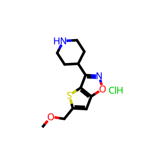 COCc1cc2onc(C3CCNCC3)c2s1.Cl